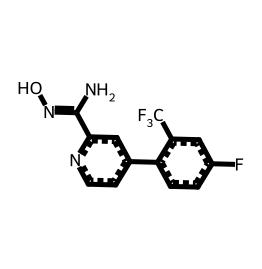 NC(=NO)c1cc(-c2ccc(F)cc2C(F)(F)F)ccn1